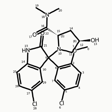 COc1ccc(Cl)cc1C1(N2C[C@H](O)C[C@H]2C(=O)N(C)C)C(=O)Nc2ccc(Cl)cc21